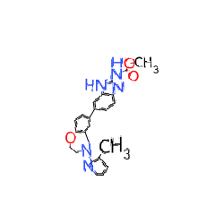 COC(=O)Nc1nc2ccc(-c3ccc4c(c3)CN(c3ncccc3C)CCO4)cc2[nH]1